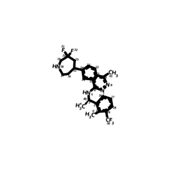 Cc1c([C@@H](C)Nc2nnc(C)c3ccc(C4CCNCC(F)(F)C4)cc23)cccc1C(F)(F)F